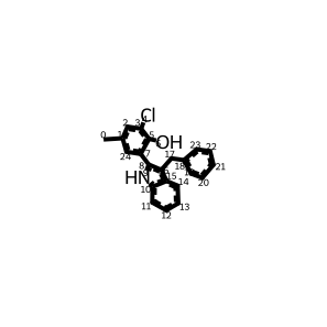 Cc1cc(Cl)c(O)c(-c2[nH]c3ccccc3c2Cc2ccccc2)c1